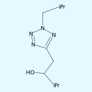 CC(C)Cn1nnc(CC(O)C(C)C)n1